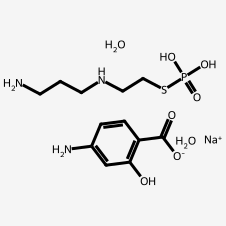 NCCCNCCSP(=O)(O)O.Nc1ccc(C(=O)[O-])c(O)c1.O.O.[Na+]